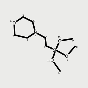 CO[Si](CCN1CCOCC1)(OC)OC